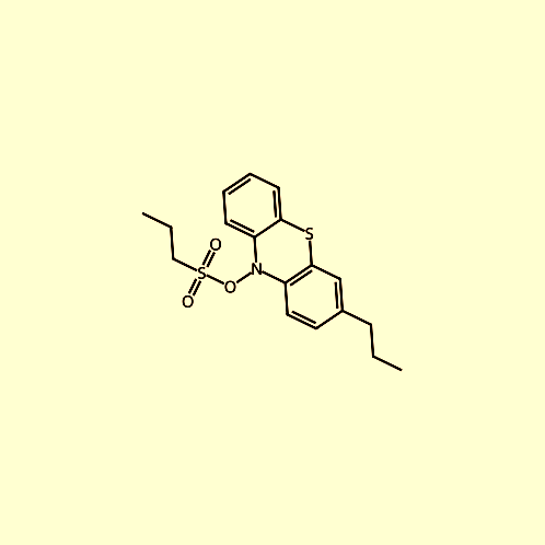 CCCc1ccc2c(c1)Sc1ccccc1N2OS(=O)(=O)CCC